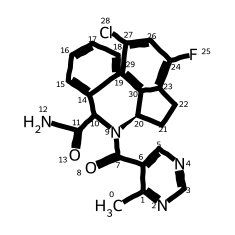 Cc1ncncc1C(=O)N(C(C(N)=O)c1ccccc1)[C@@H]1CCc2c(F)cc(Cl)cc21